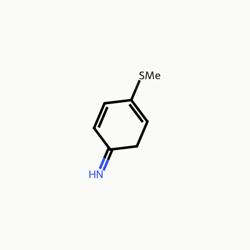 CSC1=CCC(=N)C=C1